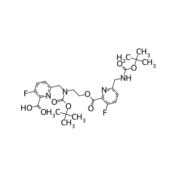 CC(C)(C)OC(=O)NCc1ccc(F)c(C(=O)OCCN(Cc2ccc(F)c(C(=O)O)n2)C(=O)OC(C)(C)C)n1